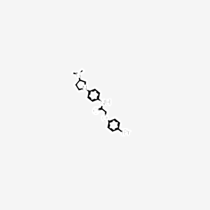 CC(C)c1ccc(OCC(=O)Nc2ccc(N3CCC(N(C)C)C3)cc2)cc1